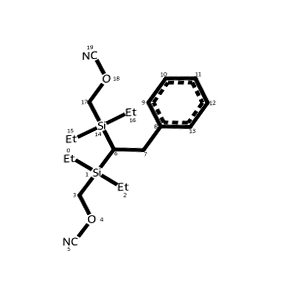 CC[Si](CC)(COC#N)C(Cc1ccccc1)[Si](CC)(CC)COC#N